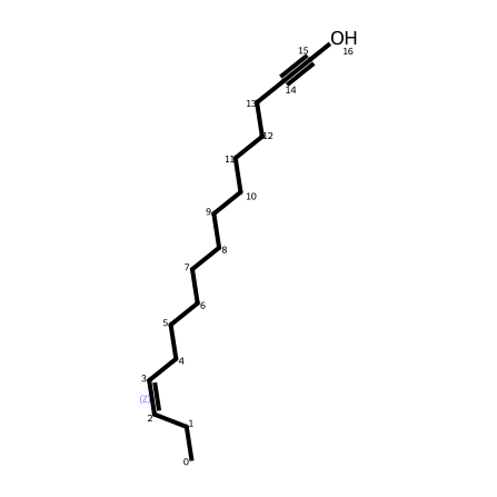 CC/C=C\CCCCCCCCCCC#CO